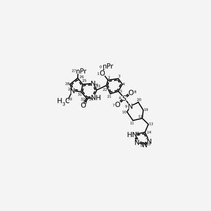 CCCOc1ccc(S(=O)(=O)N2CCC(Cc3nnn[nH]3)CC2)cc1-c1nc2c(CCC)cn(C)c2c(=O)[nH]1